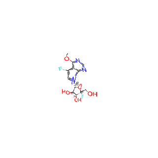 COc1ncnc2c1c(F)cn2[C@@H]1O[C@](F)(CO)[C@@H](O)[C@H]1O